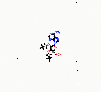 CC(C)(C)[Si](C)(C)OC1C(O[Si](C)(C)C(C)(C)C)[C@@H](CO)OC1n1cnc2c(N)ncnc21